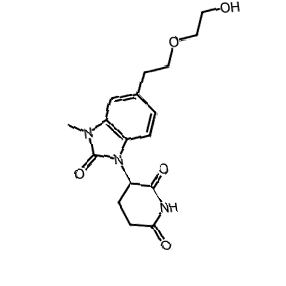 Cn1c(=O)n(C2CCC(=O)NC2=O)c2ccc(CCOCCO)cc21